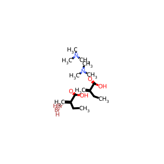 Br.Br.C=C(CC)C(=O)O.C=C(CC)C(=O)O.CN(C)C.CN(C)C